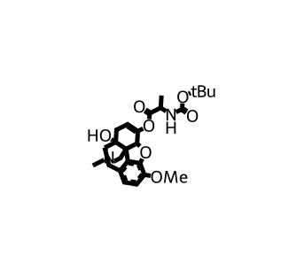 COc1ccc2c3c1OC1C(OC(=O)C(C)NC(=O)OC(C)(C)C)=CCC4(O)C(C2)N(C)CCC314